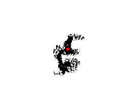 COc1cc2c(cc1OC)C(Cc1cc(CO)c(OC)c(OC)c1)[N+](C)(CCCOC(=O)C#CC(=O)OCCC[N+]1(C)CCc3cc(CO)c(CO)c(OC)c3C1c1cc(CO)c(OC)c(OC)c1)CC2